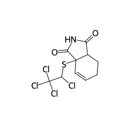 O=C1NC(=O)C2(SC(Cl)C(Cl)(Cl)Cl)C=CCCC12